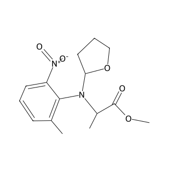 COC(=O)C(C)N(c1c(C)cccc1[N+](=O)[O-])C1CCCO1